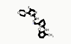 Cc1cccc(Cl)c1Nc1cccc(/C=N\Nc2ncc(F)c(N3CCOCC3)n2)n1